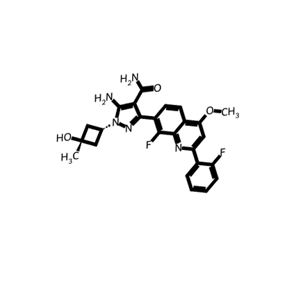 COc1cc(-c2ccccc2F)nc2c(F)c(-c3nn([C@H]4C[C@@](C)(O)C4)c(N)c3C(N)=O)ccc12